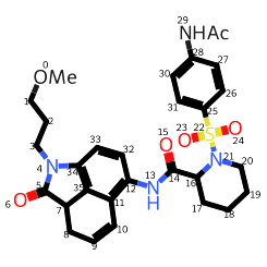 COCCCN1C(=O)C2CC=Cc3c(NC(=O)C4CCCCN4S(=O)(=O)c4ccc(NC(C)=O)cc4)ccc1c32